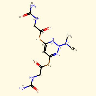 CN(C)N1N=C(SC(=O)CNC(N)=O)C=C(SC(=O)CNC(N)=O)N1